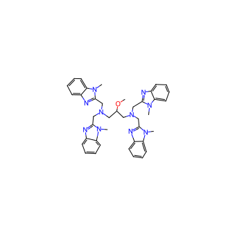 COC(CN(Cc1nc2ccccc2n1C)Cc1nc2ccccc2n1C)CN(Cc1nc2ccccc2n1C)Cc1nc2ccccc2n1C